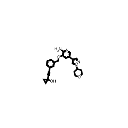 Nc1ncc(-c2cnn(C3CCOCC3)c2)cc1OCc1cccc(C#CC2(O)CC2)c1